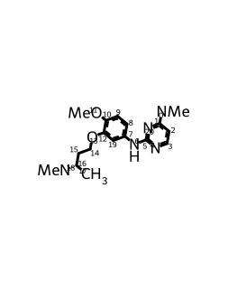 CNc1ccnc(Nc2ccc(OC)c(OCC[C@H](C)NC)c2)n1